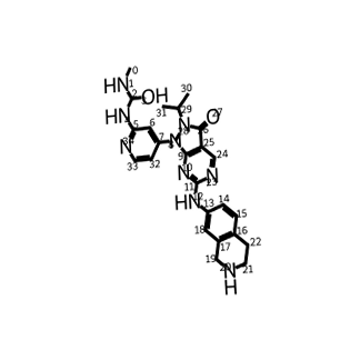 CNC(O)Nc1cc(-n2c3nc(Nc4ccc5c(c4)CNCC5)ncc3c(=O)n2C(C)C)ccn1